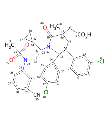 C[C@]1(CC(=O)O)CC(c2cccc(Cl)c2)C(c2ccc(Cl)cc2)N([C@H](CN(c2cccc(C#N)c2)S(C)(=O)=O)C2CC2)C1=O